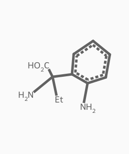 CCC(N)(C(=O)O)c1ccccc1N